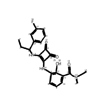 CCC(Nc1c(Nc2cccc(C(=O)N(C)C)c2O)c(=O)c1=O)c1cccc(F)c1